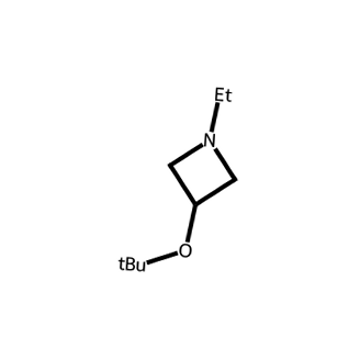 CCN1CC(OC(C)(C)C)C1